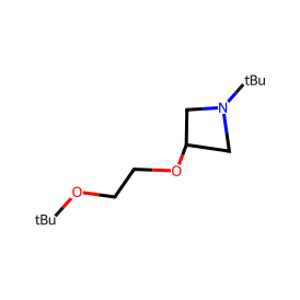 CC(C)(C)OCCOC1CN(C(C)(C)C)C1